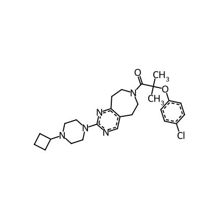 CC(C)(Oc1ccc(Cl)cc1)C(=O)N1CCc2cnc(N3CCN(C4CCC4)CC3)nc2CC1